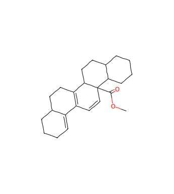 COC(=O)C12C=CC3=C(CCC4CCCC=C34)C1CCC1CCCCC12